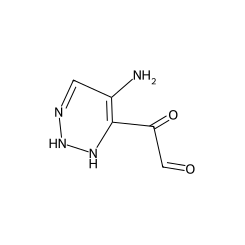 NC1=C(C(=O)C=O)NNN=C1